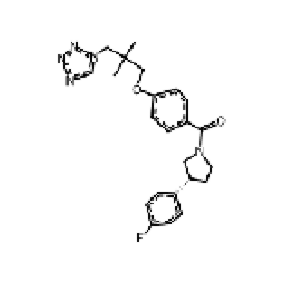 CC(C)(COc1ccc(C(=O)N2CC[C@H](c3ccc(F)cc3)C2)cc1)Cn1cnnn1